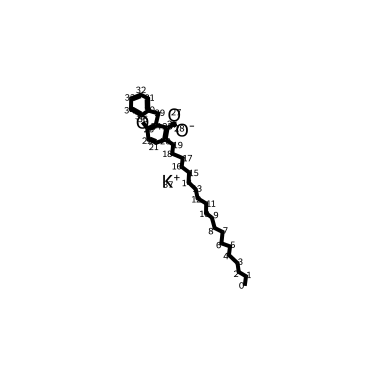 CCCCCCCCCCCCCCCCCCCCc1ccc2c(c1C(=O)[O-])Cc1ccccc1O2.[K+]